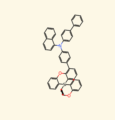 c1ccc(-c2ccc(N(c3ccc(-c4cccc5c4Oc4ccccc4[Si]54c5ccccc5Oc5ccccc54)cc3)c3cccc4ccccc34)cc2)cc1